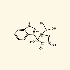 OC(Br)[C@@]1(Cl)O[C@@H](O)[C@H](O)[C@@]1(O)c1c[nH]c2ccccc12